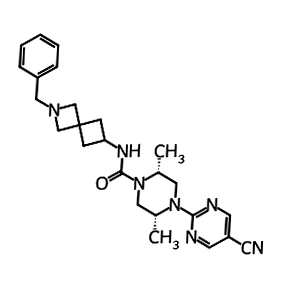 C[C@@H]1CN(c2ncc(C#N)cn2)[C@H](C)CN1C(=O)NC1CC2(C1)CN(Cc1ccccc1)C2